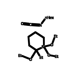 CCCCCCN=C=O.CCOC1(CC)CCCC[Si]1(OCC)OCC